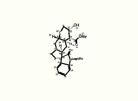 CCCCN1C(=O)[C@@]2(CCN3C[C@@H]4CC[C@H](O)[C@H](C(=O)OC)[C@H]4C[C@H]32)c2ccccc21